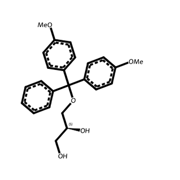 COc1ccc(C(OC[C@@H](O)CO)(c2ccccc2)c2ccc(OC)cc2)cc1